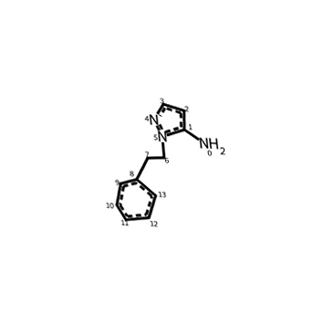 Nc1ccnn1CCc1ccccc1